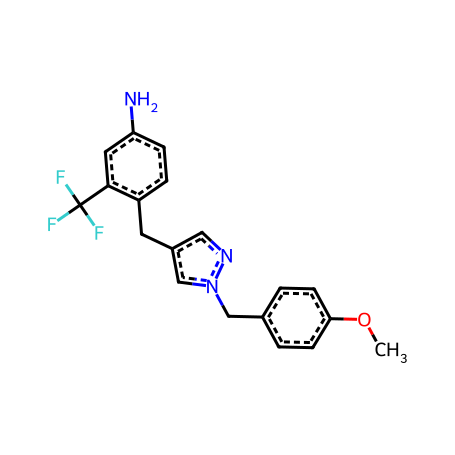 COc1ccc(Cn2cc(Cc3ccc(N)cc3C(F)(F)F)cn2)cc1